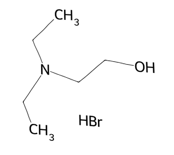 Br.CCN(CC)CCO